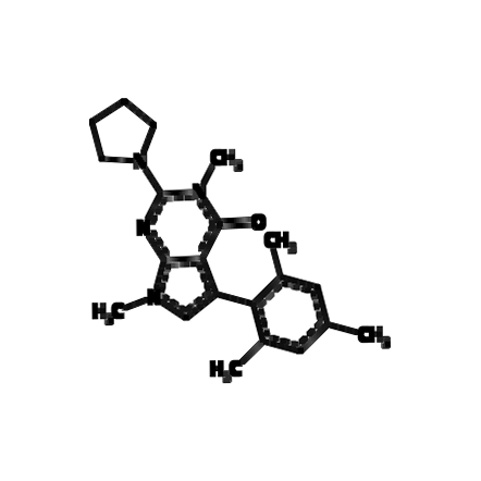 Cc1cc(C)c(-c2cn(C)c3nc(N4CCCC4)n(C)c(=O)c23)c(C)c1